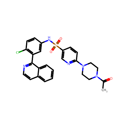 CC(=O)N1CCN(c2ccc(S(=O)(=O)Nc3ccc(Cl)c(-c4nccc5ccccc45)c3)cn2)CC1